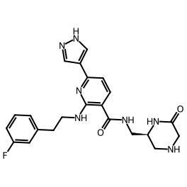 O=C1CNC[C@@H](CNC(=O)c2ccc(-c3cn[nH]c3)nc2NCCc2cccc(F)c2)N1